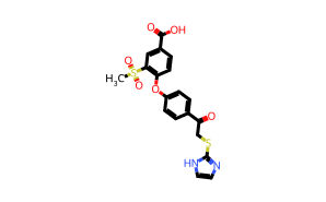 CS(=O)(=O)c1cc(C(=O)O)ccc1Oc1ccc(C(=O)CSc2ncc[nH]2)cc1